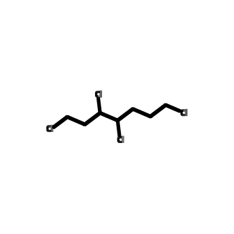 ClCCCC(Cl)C(Cl)CCCl